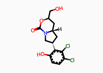 O=C1OC(CO)C[C@@H]2C[C@H](c3c(O)ccc(Cl)c3Cl)CN12